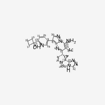 CC[C@H](C)N(/C=C\Cc1nc2c(-c3ccc(C4(O)CCC4)nc3)cnn2c(N)c1C(C)=O)C(=O)c1nnc[nH]1